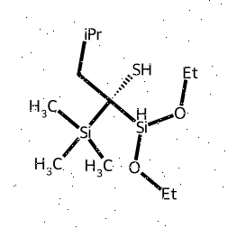 CCO[SiH](OCC)[C@](S)(CC(C)C)[Si](C)(C)C